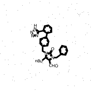 CCCCc1c(C=O)n(Cc2ccccc2)c(=O)n1Cc1ccc(-c2ccccc2-c2nnn[nH]2)cc1